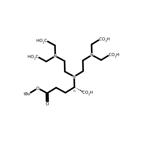 CC(C)(C)OC(=O)CC[C@@H](C(=O)O)N(CCN(CC(=O)O)CC(=O)O)CCN(CC(=O)O)CC(=O)O